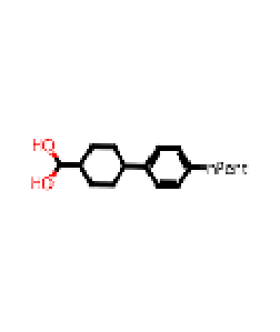 CCCCCc1ccc(C2CCC(C(O)O)CC2)cc1